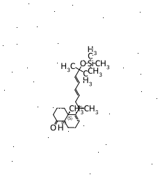 C[C@H](CC=CC=CC(C)(C)O[Si](C)(C)C)C1=CCC[C@H]2C(=O)CCC[C@]12C